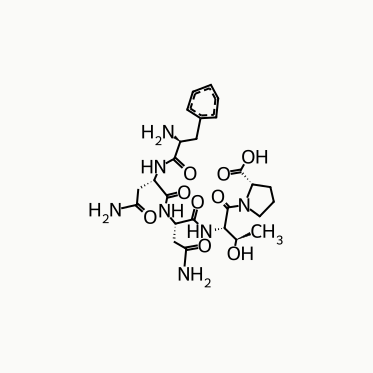 C[C@@H](O)[C@H](NC(=O)[C@H](CC(N)=O)NC(=O)[C@H](CC(N)=O)NC(=O)[C@@H](N)Cc1ccccc1)C(=O)N1CCC[C@H]1C(=O)O